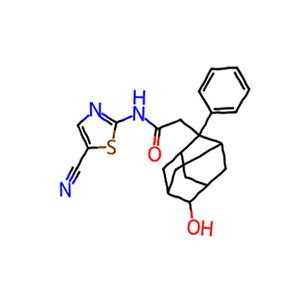 N#Cc1cnc(NC(=O)CC2(c3ccccc3)C3CC4CC2CC(C3)C4O)s1